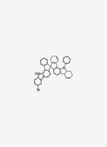 Brc1ccc2[nH]c3c4c(ccc3c2c1)C1(C2=C(C=CCC2)c2c1ccc1c2N(c2ccccc2)C2CCC=CC12)c1ccccc1-4